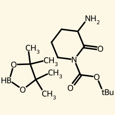 CC(C)(C)OC(=O)N1CCCC(N)C1=O.CC1(C)OBOC1(C)C